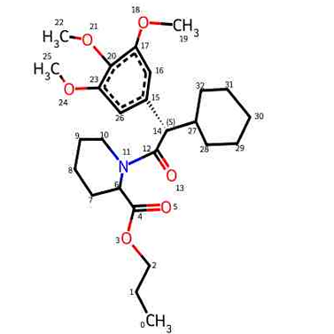 CCCOC(=O)C1CCCCN1C(=O)[C@H](c1cc(OC)c(OC)c(OC)c1)C1CCCCC1